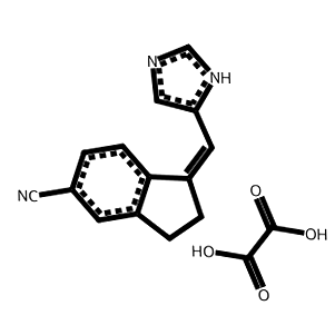 N#Cc1ccc2c(c1)CC/C2=C/c1cnc[nH]1.O=C(O)C(=O)O